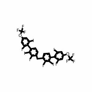 FC(F)(F)Oc1cc(I)c(-c2ccc(Cc3ccc(-c4c(I)cc(OC(F)(F)F)cc4I)c(I)c3I)c(I)c2I)c(I)c1